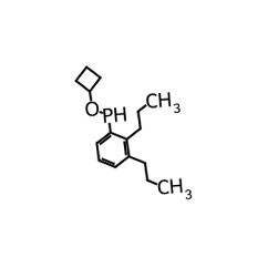 CCCc1cccc(POC2CCC2)c1CCC